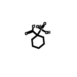 O=C(Cl)C1(P(=O)(O)O)CCCCC1